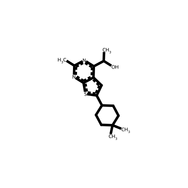 Cc1nc(C(C)O)c2cc(C3CCC(C)(C)CC3)sc2n1